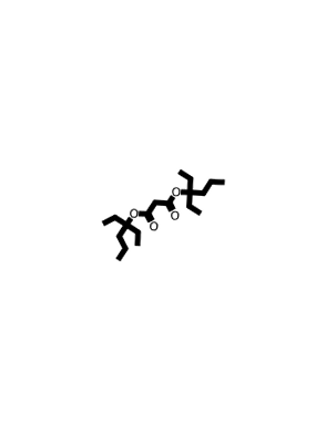 CCCC(CC)(CC)OC(=O)CC(=O)OC(CC)(CC)CCC